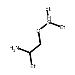 CCC(N)CO[SiH](CC)CC